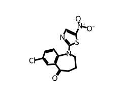 O=C1CCCN(c2ncc([N+](=O)[O-])s2)c2ccc(Cl)cc21